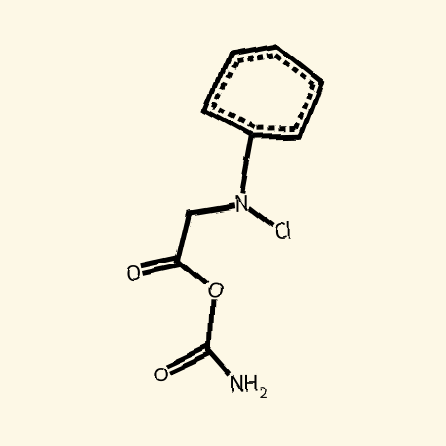 NC(=O)OC(=O)CN(Cl)c1ccccc1